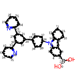 OB(O)c1ccc2c(c1)c1ccccc1n2-c1ccc(-c2cc(-c3ccccn3)cc(-c3ccccn3)c2)cc1